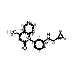 Cc1cc(=O)n(-c2cccc(NCC3CC3)c2)c2ncncc12